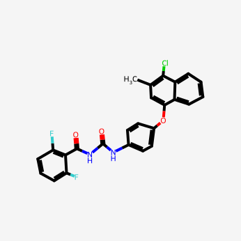 Cc1cc(Oc2ccc(NC(=O)NC(=O)c3c(F)cccc3F)cc2)c2ccccc2c1Cl